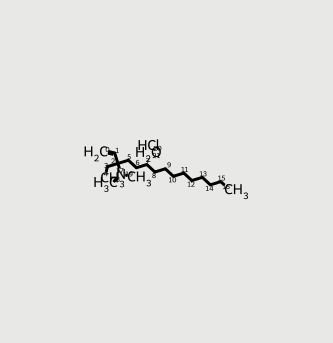 C=CC(CC)(CCCCCCCCCCCC)N(C)C.Cl.O